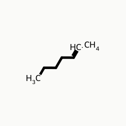 C.[CH]=CCCCC